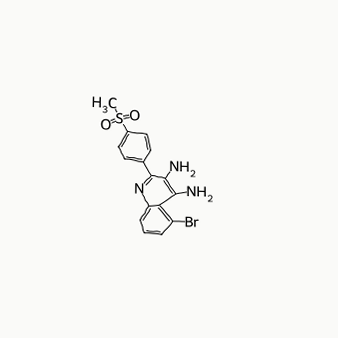 CS(=O)(=O)c1ccc(-c2nc3cccc(Br)c3c(N)c2N)cc1